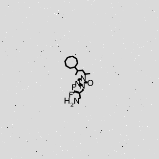 CC(CC(C)n1cnn(CC(CN)=C(F)F)c1=O)C1CCCCCCC1